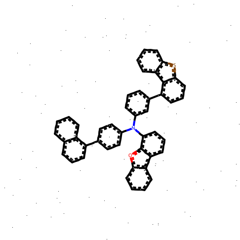 c1cc(-c2cccc3sc4ccccc4c23)cc(N(c2ccc(-c3cccc4ccccc34)cc2)c2cccc3c2oc2ccccc23)c1